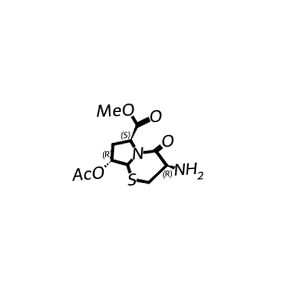 COC(=O)[C@@H]1C[C@@H](OC(C)=O)C2SC[C@H](N)C(=O)N21